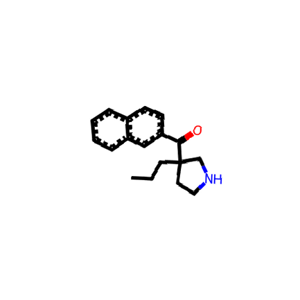 CCCC1(C(=O)c2ccc3ccccc3c2)CCNC1